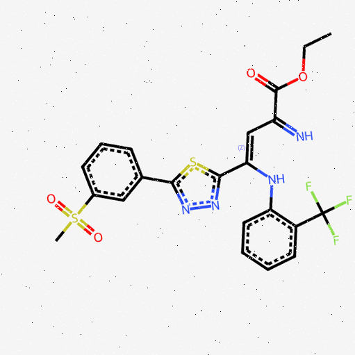 CCOC(=O)C(=N)/C=C(\Nc1ccccc1C(F)(F)F)c1nnc(-c2cccc(S(C)(=O)=O)c2)s1